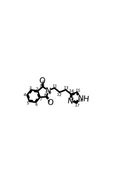 O=C1c2ccccc2C(=O)N1CCCc1c[nH]cn1